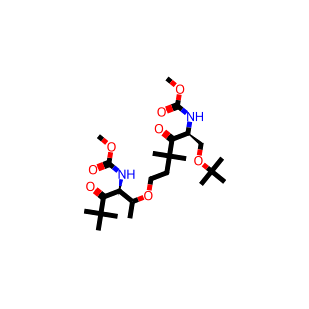 COC(=O)N[C@@H](COC(C)(C)C)C(=O)C(C)(C)CCOC(C)[C@H](NC(=O)OC)C(=O)C(C)(C)C